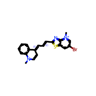 CN1C=C/C(=C\C=C\c2nc3c(cc(Br)c[n+]3C)s2)c2ccccc21